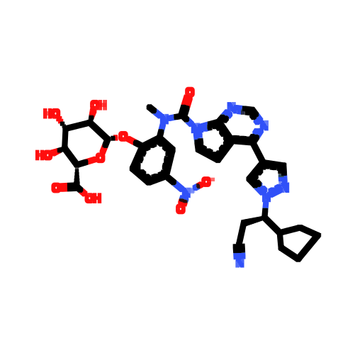 CN(C(=O)n1ccc2c(-c3cnn([C@H](CC#N)C4CCCC4)c3)ncnc21)c1cc([N+](=O)[O-])ccc1O[C@@H]1O[C@H](C(=O)O)[C@@H](O)[C@H](O)[C@H]1O